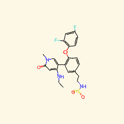 CCNc1cc(=O)n(C)cc1-c1cc(CCN[SH](=O)=O)ccc1Oc1ccc(F)cc1F